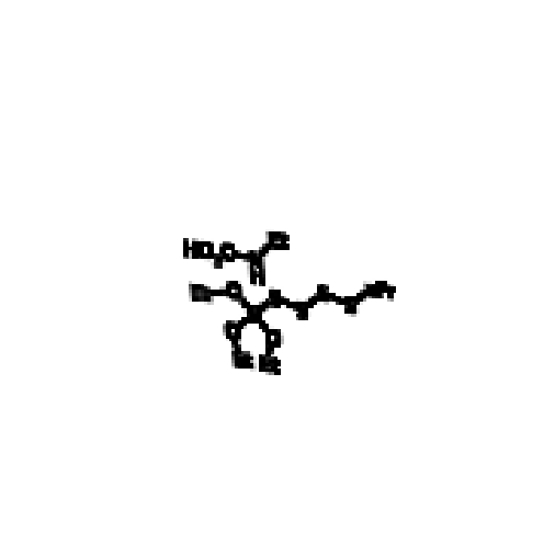 CCCSSSS[Si](OCC)(OCC)OCC.CCNC(=O)O